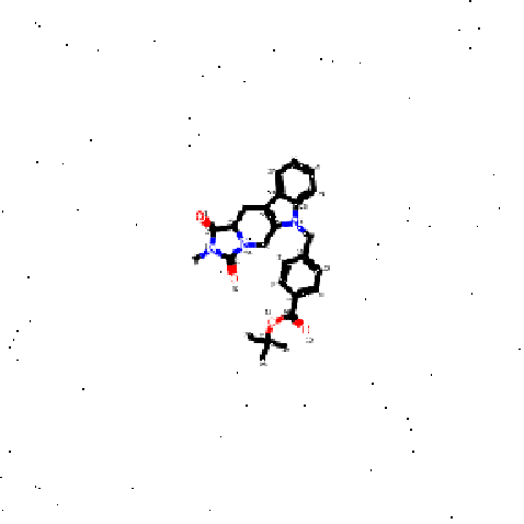 CN1C(=O)C2Cc3c(n(Cc4ccc(C(=O)OC(C)(C)C)cc4)c4ccccc34)CN2C1=O